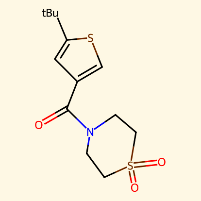 CC(C)(C)c1cc(C(=O)N2CCS(=O)(=O)CC2)cs1